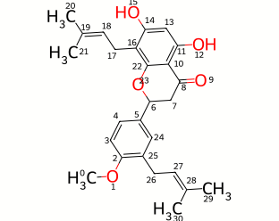 COc1ccc(C2CC(=O)c3c(O)cc(O)c(CC=C(C)C)c3O2)cc1CC=C(C)C